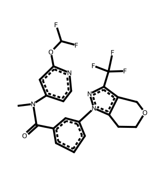 CN(C(=O)c1cccc(-n2nc(C(F)(F)F)c3c2CCOC3)c1)c1ccnc(OC(F)F)c1